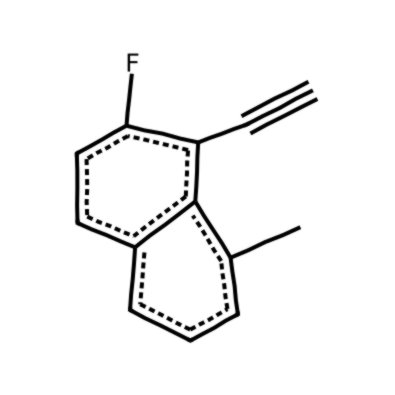 C#Cc1c(F)ccc2cccc(C)c12